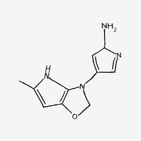 Cc1cc2c([nH]1)N(C1=CC(N)N=C1)CO2